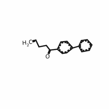 C=CCCC(=O)c1ccc(-c2ccccc2)cc1